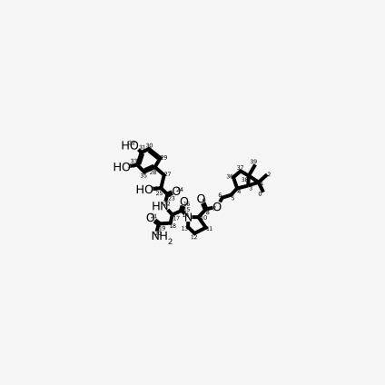 CC1(C)C2C(CCOC(=O)C3CCCN3C(=O)C(CC(N)=O)NC(=O)C(O)Cc3ccc(O)c(O)c3)CCC21C